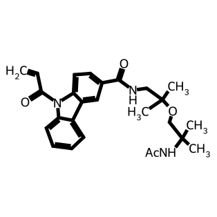 C=CC(=O)n1c2ccccc2c2cc(C(=O)NCC(C)(C)OCC(C)(C)NC(C)=O)ccc21